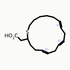 O=C(O)CC1CC/C=C/C/C=C/C/C=C/CCCCCS1